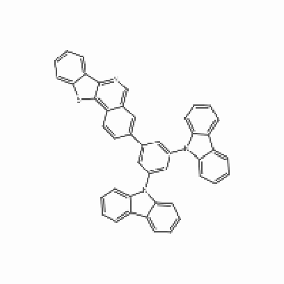 c1ccc2c(c1)sc1c3ccc(-c4cc(-n5c6ccccc6c6ccccc65)cc(-n5c6ccccc6c6ccccc65)c4)cc3cnc21